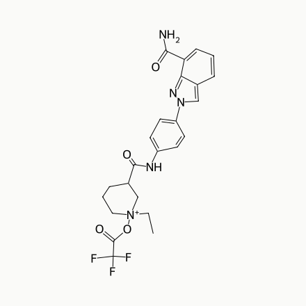 CC[N+]1(OC(=O)C(F)(F)F)CCCC(C(=O)Nc2ccc(-n3cc4cccc(C(N)=O)c4n3)cc2)C1